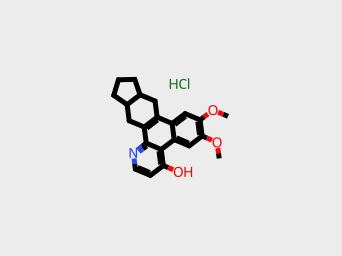 COc1cc2c3c(c4nccc(O)c4c2cc1OC)CC1CCCC1C3.Cl